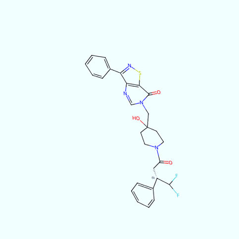 O=C(C[C@@H](c1ccccc1)C(F)F)N1CCC(O)(Cn2cnc3c(-c4ccccc4)nsc3c2=O)CC1